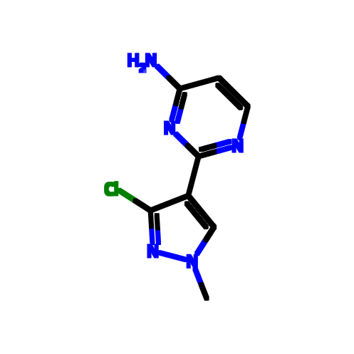 Cn1cc(-c2nccc(N)n2)c(Cl)n1